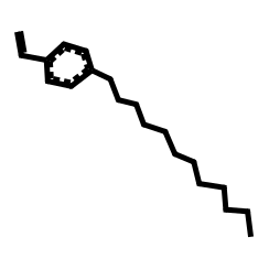 [CH]=Cc1ccc(CCCCCCCCCCCC)cc1